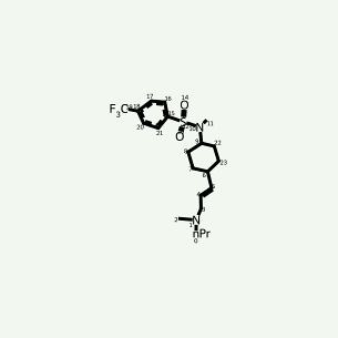 CCCN(C)CC=CC1CCC(N(C)S(=O)(=O)c2ccc(C(F)(F)F)cc2)CC1